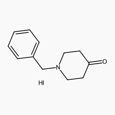 I.O=C1CCN(Cc2ccccc2)CC1